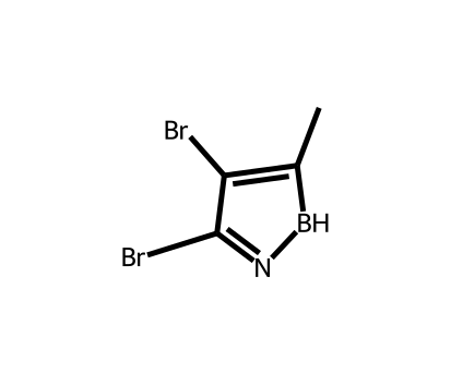 CC1=C(Br)C(Br)=NB1